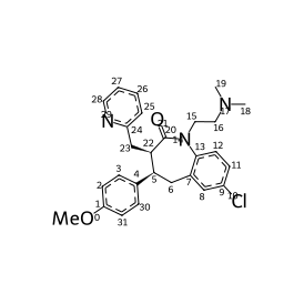 COc1ccc([C@@H]2Cc3cc(Cl)ccc3N(CCN(C)C)C(=O)[C@@H]2Cc2ccccn2)cc1